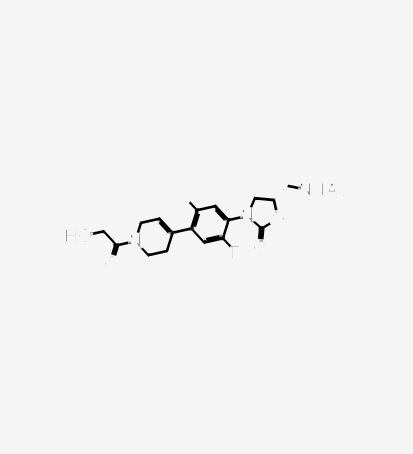 CC(=O)NC[C@H]1CN(c2cc(F)c(C3=CCN(C(=O)CO)CC3)cc2F)C(=O)O1